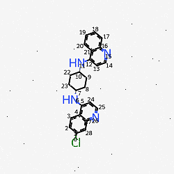 Clc1ccc2c(N[C@H]3CC[C@@H](Nc4ccnc5ccccc45)CC3)ccnc2c1